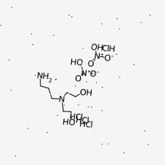 Cl.Cl.Cl.Cl.NCCCN(CCO)CCO.O=[N+]([O-])O.O=[N+]([O-])O